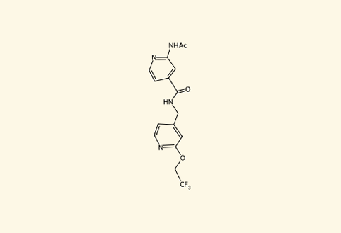 CC(=O)Nc1cc(C(=O)NCc2ccnc(OCC(F)(F)F)c2)ccn1